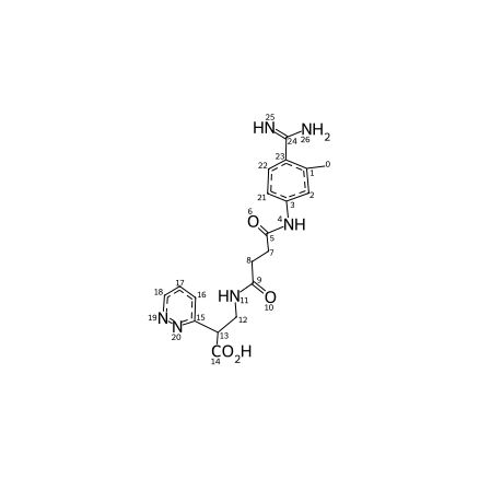 Cc1cc(NC(=O)CCC(=O)NCC(C(=O)O)c2cccnn2)ccc1C(=N)N